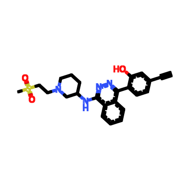 C#Cc1ccc(-c2nnc(NC3CCCN(CCS(C)(=O)=O)C3)c3ccccc23)c(O)c1